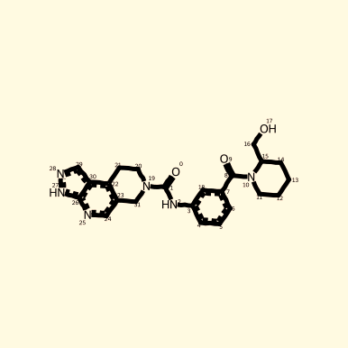 O=C(Nc1cccc(C(=O)N2CCCCC2CO)c1)N1CCc2c(cnc3[nH]ncc23)C1